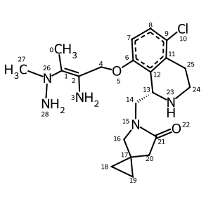 C/C(=C(/N)COc1ccc(Cl)c2c1[C@@H](CN1CC3(CC3)CC1=O)NCC2)N(C)N